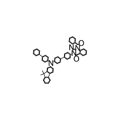 CC1(C)c2ccccc2-c2ccc(N(c3ccc(-c4ccccc4)cc3)c3ccc(-c4ccc(-n5c(=O)c6ccccc6n6c(=O)c7ccccc7nc56)cc4)cc3)cc21